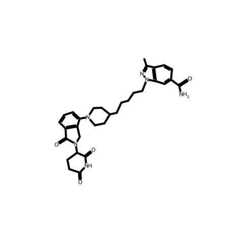 Cc1nn(CCCCCC2CCN(c3cccc4c3CN(C3CCC(=O)NC3=O)C4=O)CC2)c2cc(C(N)=O)ccc12